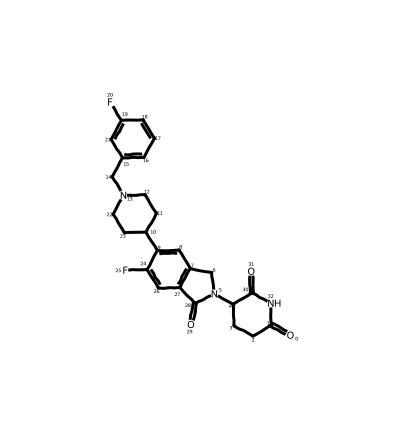 O=C1CCC(N2Cc3cc(C4CCN(Cc5cccc(F)c5)CC4)c(F)cc3C2=O)C(=O)N1